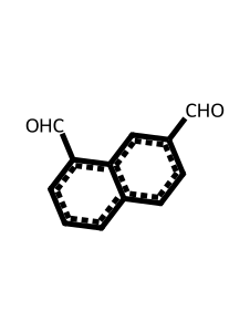 O=Cc1ccc2cccc(C=O)c2c1